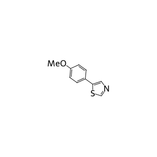 COc1ccc(-c2cncs2)cc1